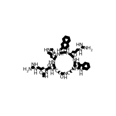 CC(=O)N[C@H](CCCNC(=N)N)C(=O)N[C@H]1CCC(=O)NCCNC(=O)[C@@H](Cc2c[nH]c3ccccc23)NC(=O)[C@H](CCCNC(=N)N)NC(=O)[C@@H](Cc2ccc3ccccc3c2)NC(=O)[C@H](Cc2c[nH]cn2)NC1=O